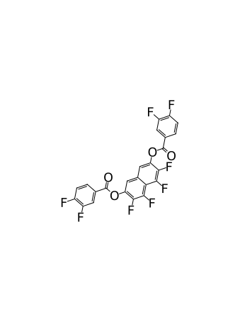 O=C(Oc1cc2cc(OC(=O)c3ccc(F)c(F)c3)c(F)c(F)c2c(F)c1F)c1ccc(F)c(F)c1